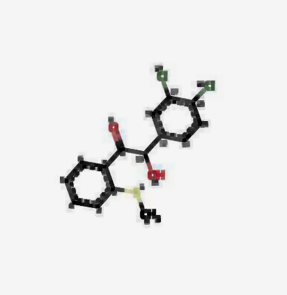 CSc1ccccc1C(=O)C(O)c1ccc(Cl)c(Cl)c1